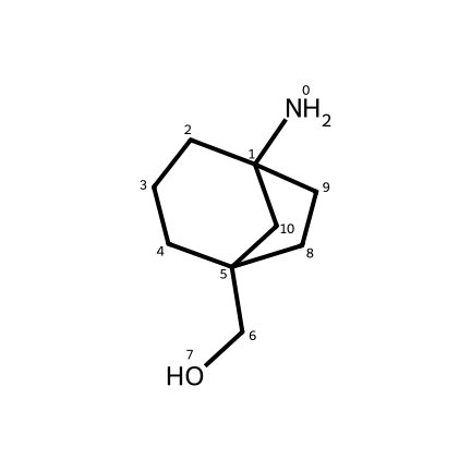 NC12CCCC(CO)(CC1)C2